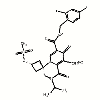 CC(C)N1C[C@]2(C[C@@H](OS(C)(=O)=O)C2)n2cc(C(=O)NCc3ccc(F)cc3F)c(=O)c(O)c2C1=O.Cl